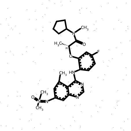 Cc1cc(N=S(C)(C)=O)cc2ncnc(Nc3ccc(F)cc3O[C@H](C)C(=O)N(C)C3CCCC3)c12